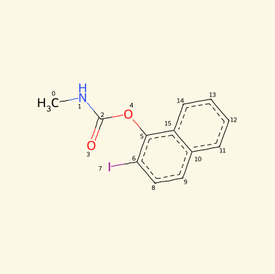 CNC(=O)Oc1c(I)ccc2ccccc12